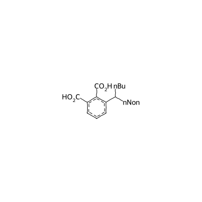 CCCCCCCCCC(CCCC)c1cccc(C(=O)O)c1C(=O)O